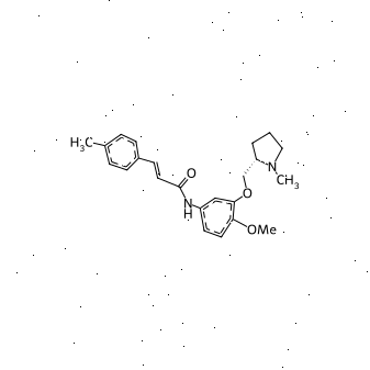 COc1ccc(NC(=O)C=Cc2ccc(C)cc2)cc1OC[C@@H]1CCCN1C